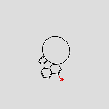 Oc1cc2c(c3ccccc13)-c1ccccc1CCCCCCCCCCC2